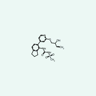 C=CC(O)COc1cc(-c2ccc3c(c2NC(=O)NS(C)(=O)=O)CCC3)ccn1